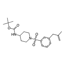 C=C(C)Cc1cccc(S(=O)(=O)N2CCC(NC(=O)OC(C)(C)C)CC2)c1